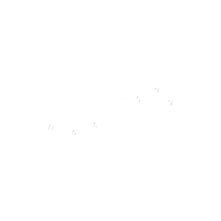 O=C(O)N1CCN(c2ccc(-c3cc4c(Cl)ncnc4n3S(=O)(=O)c3ccccc3)cc2)CC1